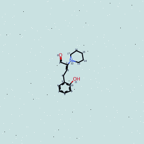 O=C/C(=C\Cc1ccccc1O)N1CCCCC1